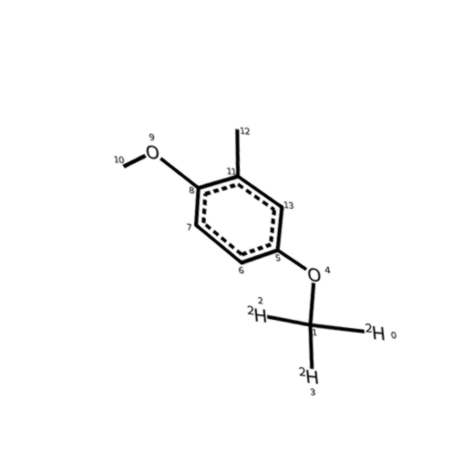 [2H]C([2H])([2H])Oc1ccc(OC)c(C)c1